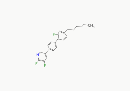 CCCCCCc1ccc(-c2ccc(-c3cnc(F)c(F)c3)cc2)c(F)c1